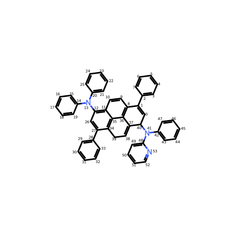 C1=C(c2ccccc2)c2ccc3c(N(c4ccccc4)c4ccccc4)cc(-c4ccccc4)c4c3c2C(=CC4)C1N(c1ccccc1)c1ccccn1